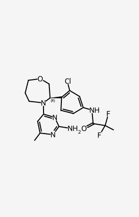 Cc1cc(N2CCCOC[C@H]2c2ccc(NC(=O)C(C)(F)F)cc2Cl)nc(N)n1